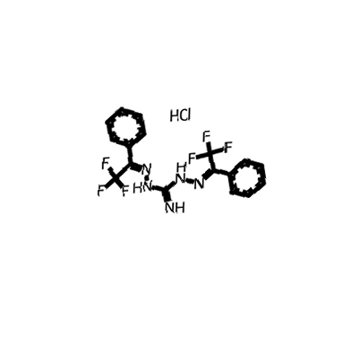 Cl.N=C(NN=C(c1ccccc1)C(F)(F)F)NN=C(c1ccccc1)C(F)(F)F